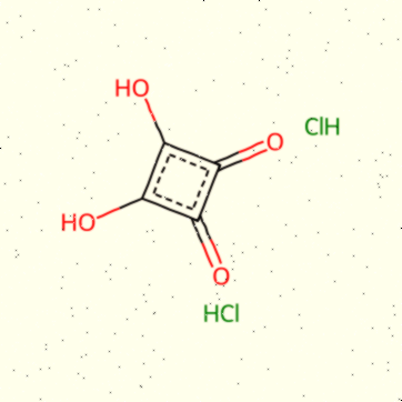 Cl.Cl.O=c1c(O)c(O)c1=O